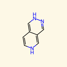 C1=CC2=CNN=CC2=CN1